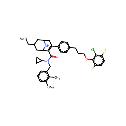 COCC1CC2CC(c3ccc(CCCOc4c(F)ccc(F)c4Cl)cc3)=C(C(=O)N(Cc3cccc(OC)c3C)C3CC3)C(C1)N2